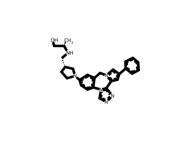 C[C@@H](CO)NC[C@H]1CCN(c2ccc3c(c2)Cn2cc(-c4ccccc4)cc2-c2nncn2-3)C1